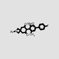 COc1cc(-c2ccc(F)cc2)cc(C)c1C1C(=O)CC2(CC1=O)CN(C(C)=O)C2